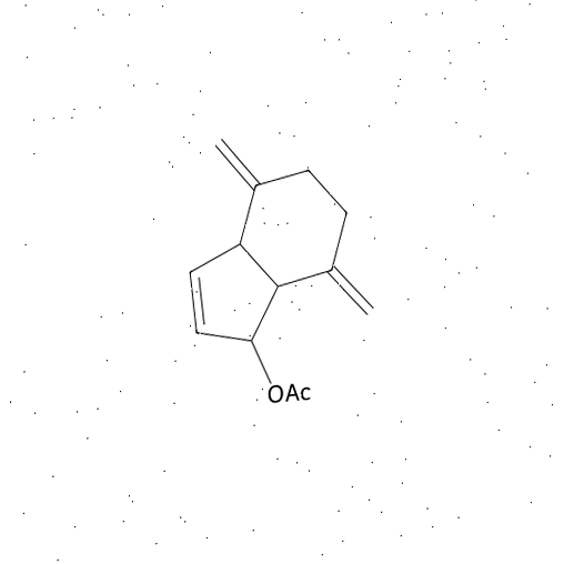 C=C1CCC(=C)C2C(OC(C)=O)C=CC12